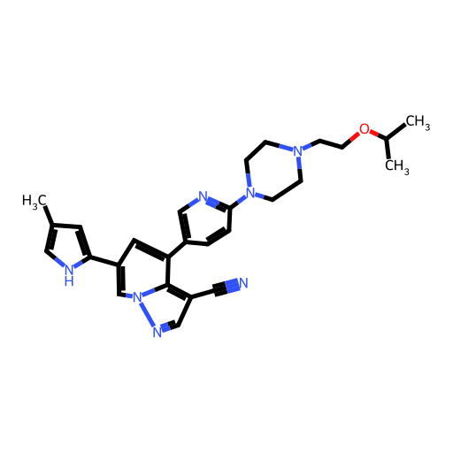 Cc1c[nH]c(-c2cc(-c3ccc(N4CCN(CCOC(C)C)CC4)nc3)c3c(C#N)cnn3c2)c1